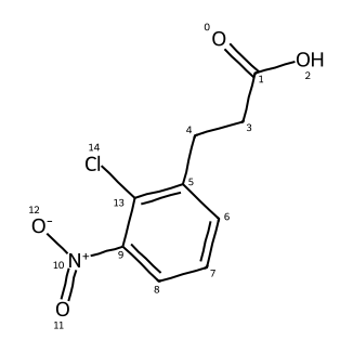 O=C(O)CCc1cccc([N+](=O)[O-])c1Cl